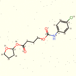 O=C(CCCOC(=O)Nc1ccc(Cl)cc1)OC1CCCO1